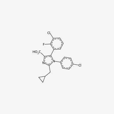 O=C(O)c1nc(CC2CC2)n(-c2ccc(Cl)cc2)c1-c1cccc(Cl)c1F